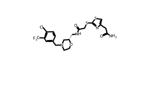 NC(=O)Cc1csc(SCC(=O)NC[C@H]2CN(Cc3ccc(Cl)c(C(F)(F)F)c3)CCO2)n1